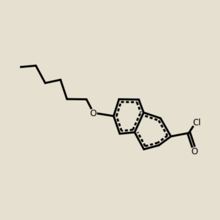 CCCCCCOc1ccc2cc(C(=O)Cl)ccc2c1